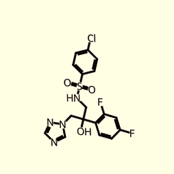 O=S(=O)(NCC(O)(Cn1cncn1)c1ccc(F)cc1F)c1ccc(Cl)cc1